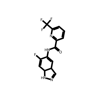 O=C(NC1=CC2C=NNC2C=C1F)c1cccc(C(F)(F)F)n1